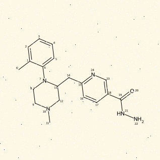 Cc1ccccc1N1CCN(C)CC1Cc1ccc(C(=O)NN)cn1